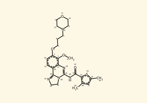 COc1c(OCCCN2CCOCC2)ccc2c1N=C(NC(=O)c1sc(C)cc1C)N1CCN=C21